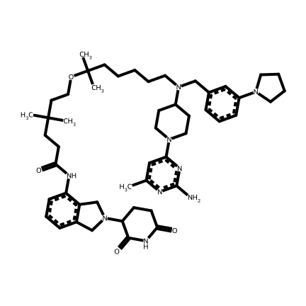 Cc1cc(N2CCC(N(CCCCCC(C)(C)OCCC(C)(C)CCC(=O)Nc3cccc4c3CN(C3CCC(=O)NC3=O)C4)Cc3cccc(N4CCCC4)c3)CC2)nc(N)n1